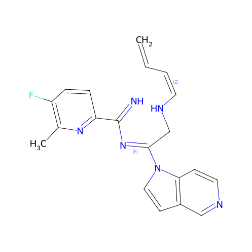 C=C/C=C\NC/C(=N\C(=N)c1ccc(F)c(C)n1)n1ccc2cnccc21